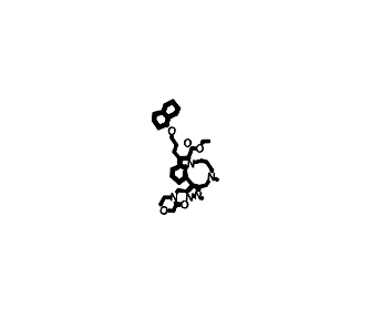 CCOC(=O)c1c(CCCOc2cccc3ccccc23)c2cccc3c2n1CCCN(C)Cc1c-3c(CN2CCOCC2=O)nn1C